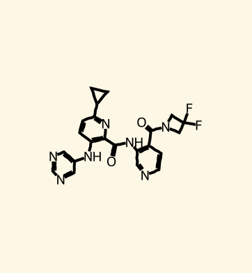 O=C(Nc1cnccc1C(=O)N1CC(F)(F)C1)c1nc(C2CC2)ccc1Nc1cncnc1